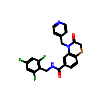 O=C(NCc1c(F)cc(F)cc1F)c1ccc2c(c1)N(Cc1ccncc1)C(=O)CS2